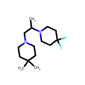 CC(CN1CCC(C)(C)CC1)N1CCC(F)(F)CC1